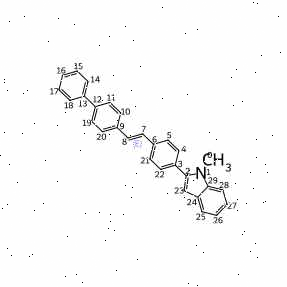 Cn1c(-c2ccc(/C=C/c3ccc(-c4ccccc4)cc3)cc2)cc2ccccc21